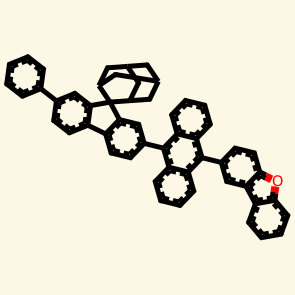 c1ccc(-c2ccc3c(c2)C2(c4cc(-c5c6ccccc6c(-c6ccc7oc8ccccc8c7c6)c6ccccc56)ccc4-3)C3CC4CC(C3)CC2C4)cc1